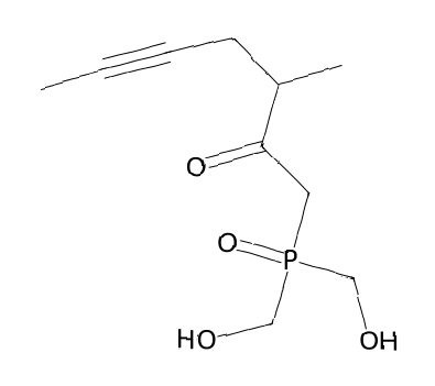 CC#CCC(C)C(=O)CP(=O)(CO)CO